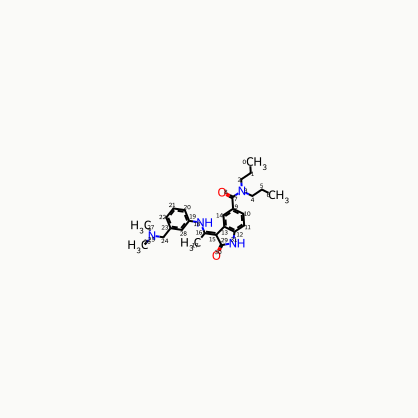 CCCN(CCC)C(=O)c1ccc2c(c1)C(=C(C)Nc1cccc(CN(C)C)c1)C(=O)N2